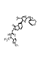 CCn1ccc(C(C)NC(=O)CN2Cc3ccc(-c4nc(NC5CCOCC5)ncc4Cl)cc3C2=O)n1